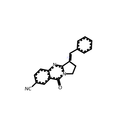 N#Cc1ccc2nc3n(c(=O)c2c1)CC/C3=C\c1ccccc1